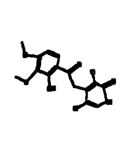 COc1ccc(C(=O)Cc2c(Cl)c[nH]c(=O)c2Cl)c(O)c1OC